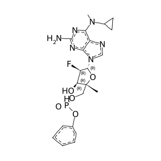 CN(c1nc(N)nc2c1ncn2[C@@H]1O[C@](C)(CO[PH](=O)Oc2ccccc2)[C@@H](O)[C@H]1F)C1CC1